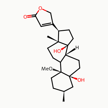 CO[C@]12CC[C@H](C)C[C@@]1(O)CC[C@@H]1C2CC[C@]2(C)[C@@H](C3=CC(=O)OC3)CC[C@]12O